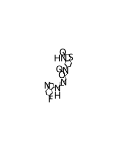 O=C1CSc2ccc(N3C[C@@H](CN4CC(Nc5ccnc6ccc(F)cc56)C4)OC3=O)cc2N1